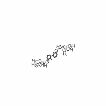 Cc1c(OCCCNC2C[C@H](CO)[C@@H](O)[C@H]2O)cccc1-c1cccc(OCCCN[C@@H]2C[C@H](CO)[C@@H](O)[C@H]2O)c1C